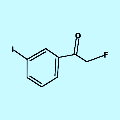 O=C(CF)c1cccc(I)c1